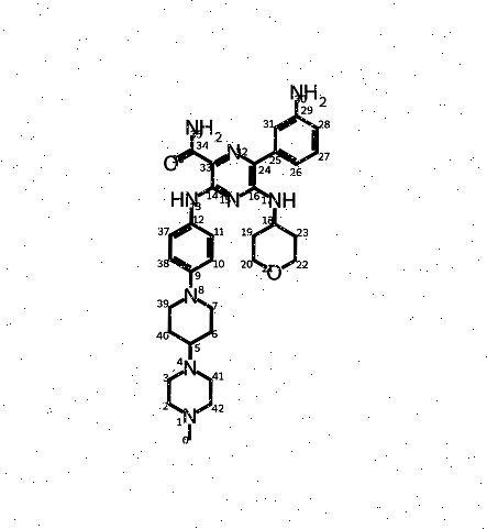 CN1CCN(C2CCN(c3ccc(Nc4nc(NC5CCOCC5)c(-c5cccc(N)c5)nc4C(N)=O)cc3)CC2)CC1